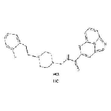 Cl.Cl.O=C(NCC1CCN(CCc2ccccc2F)CC1)C1=Cc2cnc3cccc(n23)S1